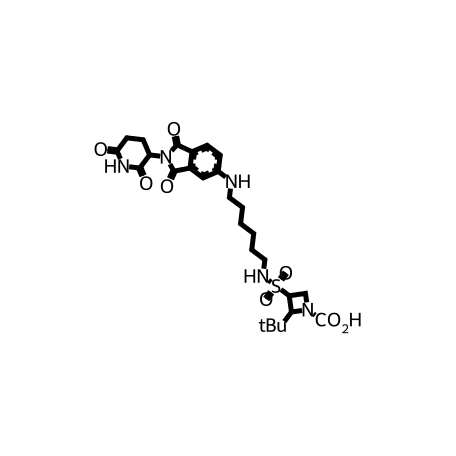 CC(C)(C)C1C(S(=O)(=O)NCCCCCCNc2ccc3c(c2)C(=O)N(C2CCC(=O)NC2=O)C3=O)CN1C(=O)O